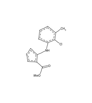 COC(=O)c1cscc1Nc1cccc(C)c1Cl